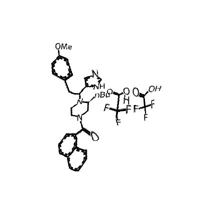 CCCC[C@H]1CN(C(=O)c2cccc3ccccc23)CCN1C(Cc1ccc(OC)cc1)c1cnc[nH]1.O=C(O)C(F)(F)F.O=C(O)C(F)(F)F